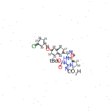 CC(C)(C)OC(=O)N/C(=N/C(=O)O)N1CCC[C@H]1c1nc(-c2ccc3cc(OCc4cccc(Cl)c4)ccc3c2)no1